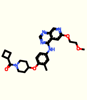 COCCOc1cc2c(Nc3ccc(OC4CCN(C(=O)C5CCC5)CC4)c(C)c3)ncnc2cn1